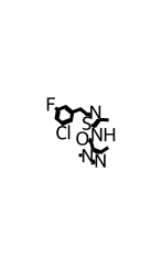 Cc1nc(Cc2cc(F)cc(Cl)c2)sc1NC(=O)c1c(C)ncn1C